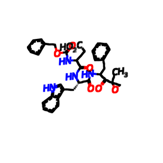 CC1(C(=O)C(Cc2ccccc2)NC(=O)[C@H](Cc2c[nH]c3ccccc23)NC(=O)C(CC(=O)O)NC(=O)OCc2ccccc2)CO1